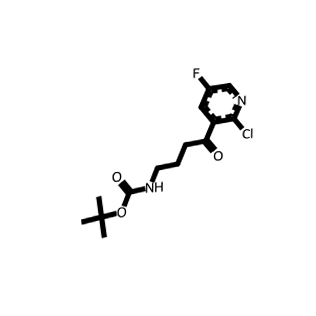 CC(C)(C)OC(=O)NCCCC(=O)c1cc(F)cnc1Cl